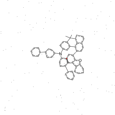 CC1(C)c2ccc(N(c3ccc(-c4ccccc4)cc3)c3ccc(-c4ccccc4)cc3)cc2-c2c(-c3cccc4c3oc3ccccc34)ccc3cccc1c23